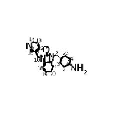 N[C@H]1CC[C@H](Cn2c(=O)n(Cc3cccnc3)c3ccccc32)CC1